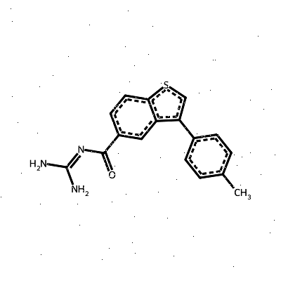 Cc1ccc(-c2csc3ccc(C(=O)N=C(N)N)cc23)cc1